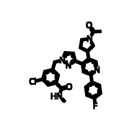 CNC(=O)c1cc(Cl)cc(Cn2ccc(-c3cc(-c4ccc(F)cc4)ncc3C3CCN(C(C)=O)C3)n2)c1